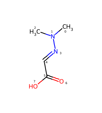 CN(C)N=CC(=O)O